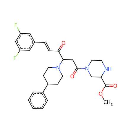 COC(=O)C1CN(C(=O)CC(C(=O)/C=C/c2cc(F)cc(F)c2)N2CCC(c3ccccc3)CC2)CCN1